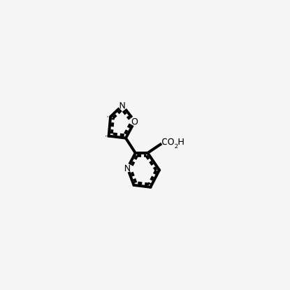 O=C(O)c1cccnc1-c1[c][c]no1